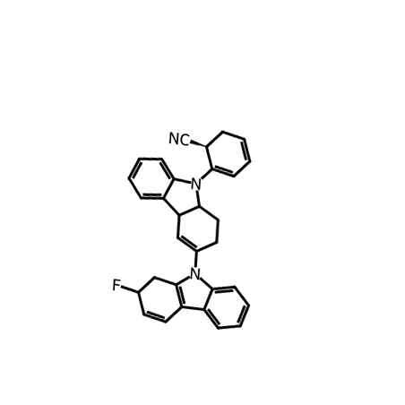 N#C[C@H]1CC=CC=C1N1c2ccccc2C2C=C(n3c4c(c5ccccc53)C=CC(F)C4)CCC21